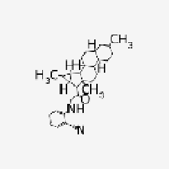 C[C@H]1CC[C@@H]2C3CC[C@@]4(C)C([C@@H]3CC[C@@H]2C1)[C@@H]1[C@H](C)[C@@H]1[C@@H]4C(=O)CNc1ccccc1C#N